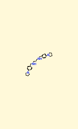 c1cc(N2CCCC2)ccc1CNCCCNCc1ccc(N2CCCC2)cc1